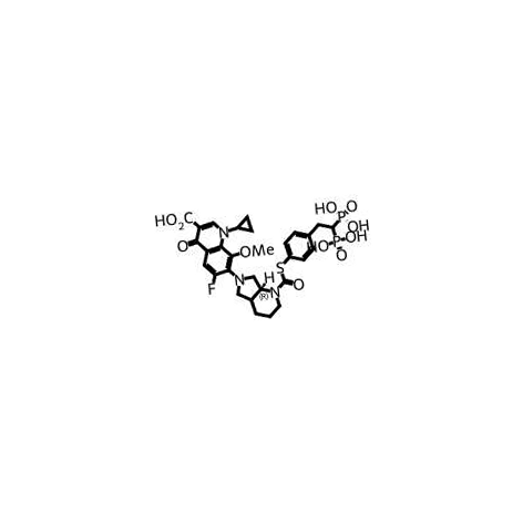 COc1c(N2CC3CCCN(C(=O)Sc4ccc(CC(P(=O)(O)O)P(=O)(O)O)cc4)[C@H]3C2)c(F)cc2c(=O)c(C(=O)O)cn(C3CC3)c12